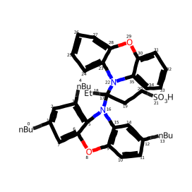 CCCCc1cc(CCCC)c2c(c1)Oc1ccc(CCCC)cc1N2C(CC)(CCS(=O)(=O)O)N1c2ccccc2Oc2ccccc21